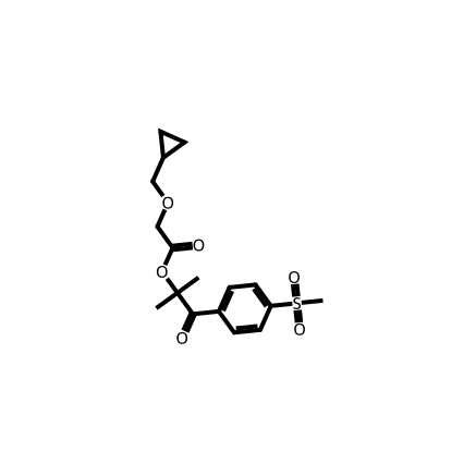 CC(C)(OC(=O)COCC1CC1)C(=O)c1ccc(S(C)(=O)=O)cc1